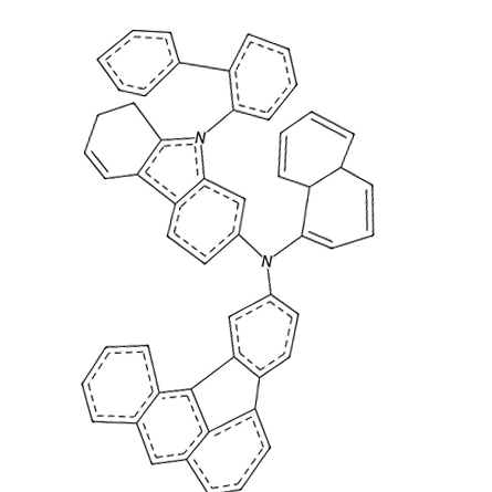 C1=CC2C=CC=C(N(c3ccc4c(c3)-c3c5ccccc5cc5cccc-4c35)c3ccc4c5c(n(-c6ccccc6-c6ccccc6)c4c3)CCC=C5)C2C=C1